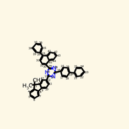 CC1(C)c2ccccc2-c2ccc(-c3nc(-c4ccc(-c5ccccc5)cc4)nc(-c4ccc(-c5ccccc5)c5ccccc45)n3)cc21